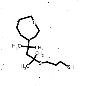 CC(C)(CC(C)(C)C1CCCCCCC1)SCCCS